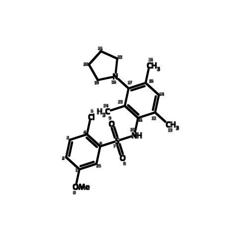 COc1ccc(Cl)c(S(=O)(=O)Nc2c(C)cc(C)c(N3CCCC3)c2C)c1